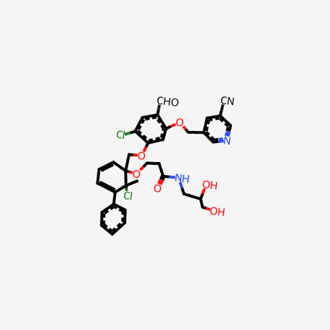 CC1(Cl)C(c2ccccc2)=CC=CC1(COc1cc(OCc2cncc(C#N)c2)c(C=O)cc1Cl)OCCC(=O)NCC(O)CO